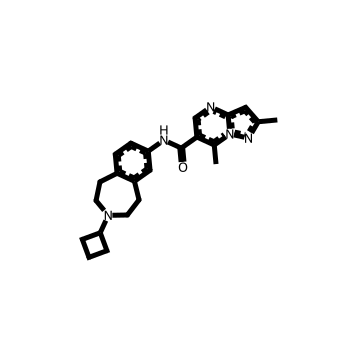 Cc1cc2ncc(C(=O)Nc3ccc4c(c3)CCN(C3CCC3)CC4)c(C)n2n1